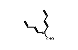 C=CC=[CH][Ru]([CH]=O)[CH]=CC=C